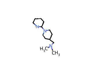 CN(C)CC1CCN(C2CCCC[N]2)CC1